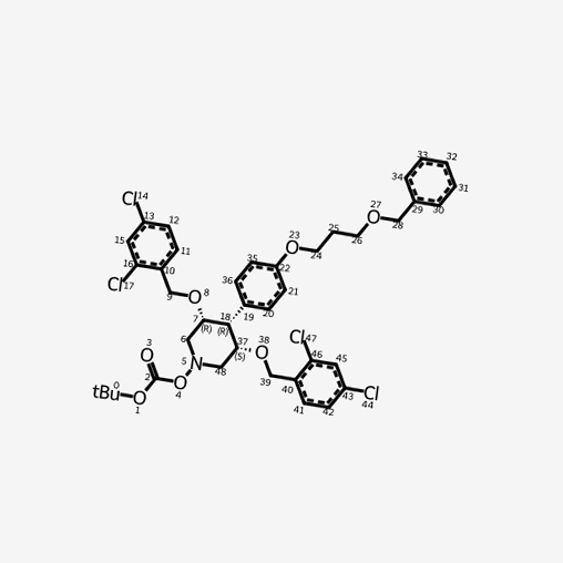 CC(C)(C)OC(=O)ON1C[C@H](OCc2ccc(Cl)cc2Cl)[C@H](c2ccc(OCCCOCc3ccccc3)cc2)[C@H](OCc2ccc(Cl)cc2Cl)C1